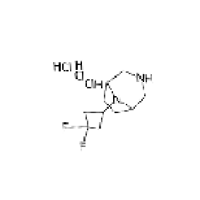 Cl.Cl.Cl.FC1(F)CC(N2C3CCC2CNC3)C1